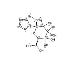 OC(O)[C@H]1O[C@](OBr)(n2ccnc2)C(O)(O)C(O)(O)C1(O)O